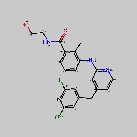 Cc1c(Nc2cc(Cc3cc(F)cc(Cl)c3)ccn2)cccc1C(=O)NCCO